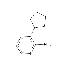 Nc1ncccc1C1CCCC1